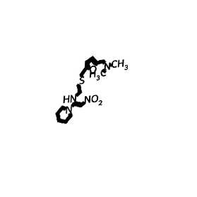 CN(C)Cc1ccc(CSCCNC(=C[N+](=O)[O-])N2CCCCC2)o1